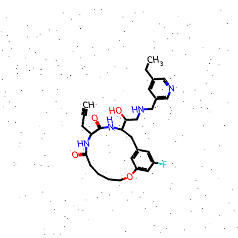 C#CCC1NC(=O)CCCCOc2cc(F)cc(c2)CC(C(O)CNCc2cncc(CC)c2)NC1=O